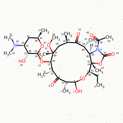 CC[C@H]1OC(O)[C@H](C)C(=O)[C@H](C)[C@@H](O[C@@H]2O[C@H](C)C[C@H](N(C)C)[C@H]2O)[C@](C)(OC)C[C@@H](C)C(=O)[C@H](C)[C@H]2N(C(C)=O)C(=O)O[C@]12C